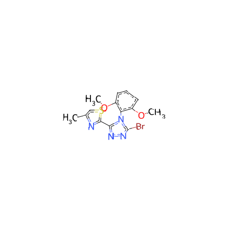 COc1cccc(OC)c1-n1c(Br)nnc1-c1nc(C)cs1